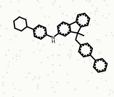 CC1(Cc2ccc(-c3ccccc3)cc2)c2ccccc2-c2ccc(Nc3ccc(C4CCCCC4)cc3)cc21